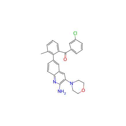 Cc1cccc(C(=O)c2cccc(Cl)c2)c1-c1ccc2nc(N)c(N3CCOCC3)cc2c1